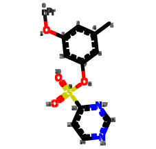 CCCOc1cc(C)cc(OS(=O)(=O)c2ccncn2)c1